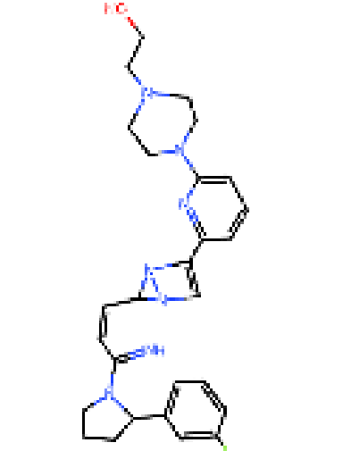 N=C(/C=C\C1n2cc(-c3cccc(N4CCN(CCO)CC4)n3)n21)N1CCCC1c1cccc(F)c1